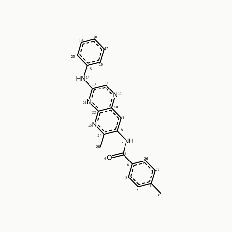 Cc1ccc(C(=O)Nc2cc3ncc(Nc4ccccc4)nc3nc2C)cc1